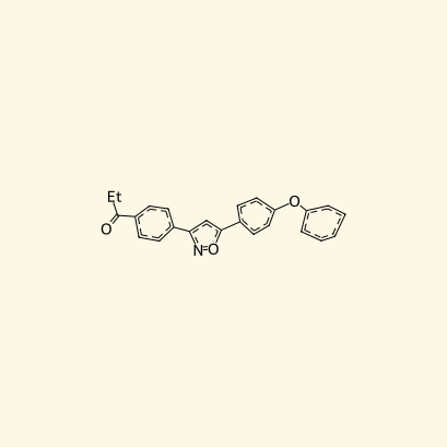 CCC(=O)c1ccc(-c2cc(-c3ccc(Oc4ccccc4)cc3)on2)cc1